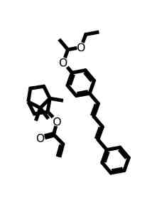 C=CC(=O)OC1CC2CCC1(C)C2(C)C.CCOC(C)Oc1ccc(C=CC=Cc2ccccc2)cc1